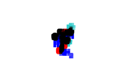 CCN1C(=O)[C@H](NC(=O)c2cccc(C(F)(F)F)c2)[C@H](c2ccc(F)cc2)c2c(CNC(=O)/C=C/C(N)=O)nn(-c3ccccc3)c21